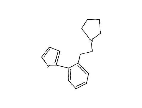 c1csc(-c2ccccc2CCN2CCCC2)c1